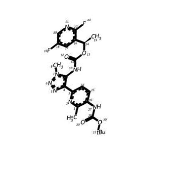 Cc1nc(-c2nnn(C)c2NC(=O)O[C@H](C)c2cc(F)cnc2F)ccc1NC(=O)OC(C)(C)C